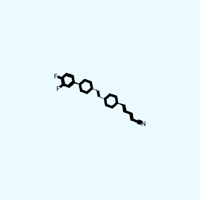 N#CC=CC=C[C@H]1CC[C@H](CC[C@H]2CC[C@H](c3ccc(F)c(F)c3)CC2)CC1